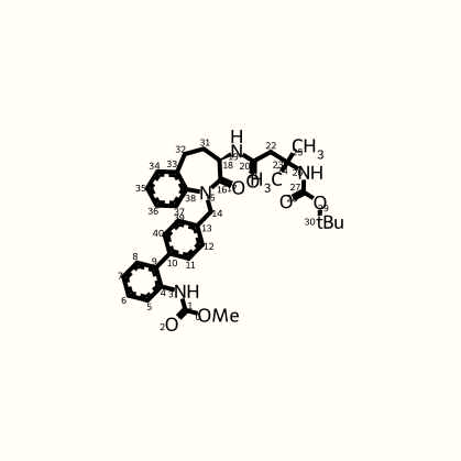 COC(=O)Nc1ccccc1-c1ccc(CN2C(=O)[C@H](NC(=O)CC(C)(C)NC(=O)OC(C)(C)C)CCc3ccccc32)cc1